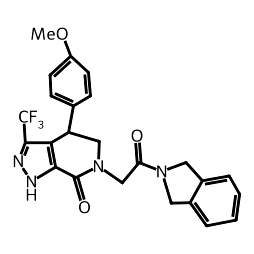 COc1ccc(C2CN(CC(=O)N3Cc4ccccc4C3)C(=O)c3[nH]nc(C(F)(F)F)c32)cc1